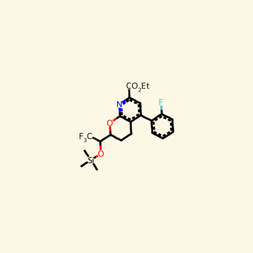 CCOC(=O)c1cc(-c2ccccc2F)c2c(n1)OC(C(O[Si](C)(C)C)C(F)(F)F)CC2